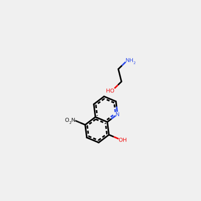 NCCO.O=[N+]([O-])c1ccc(O)c2ncccc12